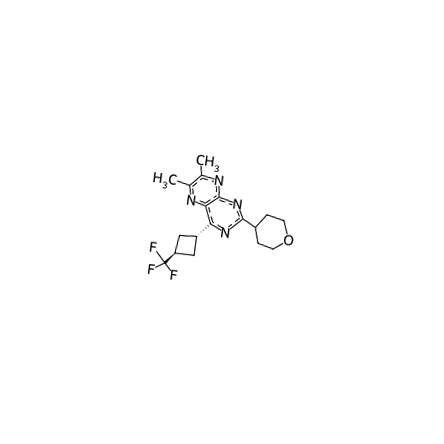 Cc1nc2nc(C3CCOCC3)nc([C@H]3C[C@H](C(F)(F)F)C3)c2nc1C